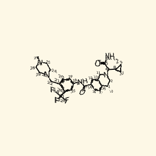 C[C@H]1CN(C(C(N)=O)C2CC2)Cc2cc(C(=O)Nc3ccc(CN4CCN(C)CC4)c(C(F)(F)F)c3)ccc21